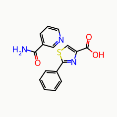 NC(=O)c1cccnc1.O=C(O)c1csc(-c2ccccc2)n1